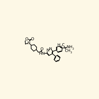 CC(C)(N)c1ccc(-c2nnc(NC(=O)CC3CCC(N4CCOC4=O)CC3)cc2-c2ccccc2)cc1